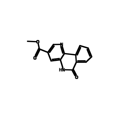 COC(=O)c1cnc2c(c1)[nH]c(=O)c1ccccc12